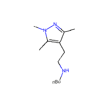 CCCCNCCc1c(C)nn(C)c1C